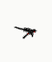 C=CCOC(=O)O[C@H]1[C@H](OCCCCCCCCCC)[C@@H](NC(=O)CC(=O)CCCCCCCCCCC)[C@H](O)O[C@@H]1CO[Si](C)(C)C(C)(C)C